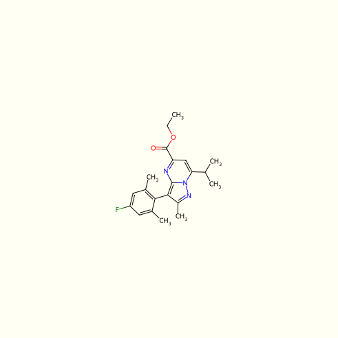 CCOC(=O)c1cc(C(C)C)n2nc(C)c(-c3c(C)cc(F)cc3C)c2n1